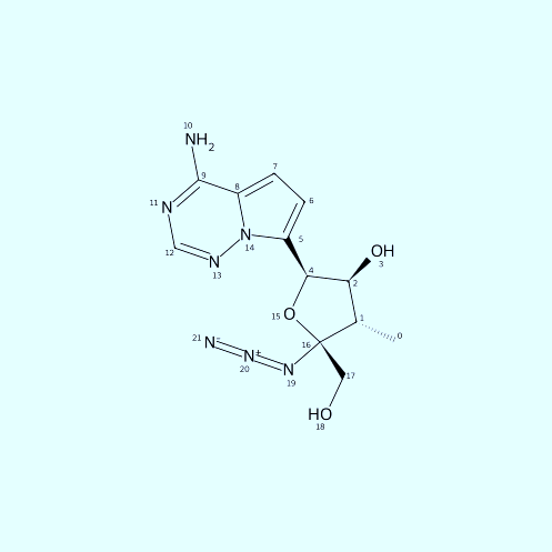 C[C@H]1[C@H](O)[C@H](c2ccc3c(N)ncnn23)O[C@@]1(CO)N=[N+]=[N-]